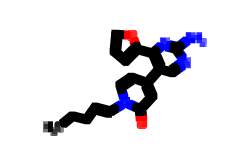 CCCC=Cn1ccc(-c2cnc(N)nc2-c2ccco2)cc1=O